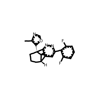 Cc1ncoc1[C@]12CCC[C@@H](c3cc(-c4c(F)cccc4F)nnc31)C2(C)C